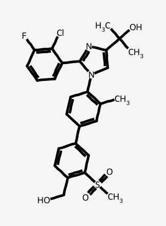 Cc1cc(-c2ccc(CO)c(S(C)(=O)=O)c2)ccc1-n1cc(C(C)(C)O)nc1-c1cccc(F)c1Cl